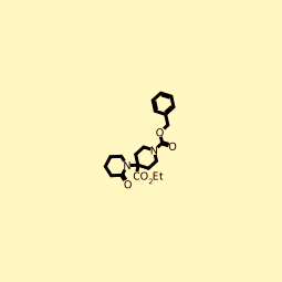 CCOC(=O)C1(N2CCCCC2=O)CCN(C(=O)OCc2ccccc2)CC1